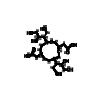 O=C(O)CN1CCN([C@H](CO)[C@H](O)CO)CCN(CC(=O)O)CCN([C@@H](CO)[C@@H](O)CO)CC1